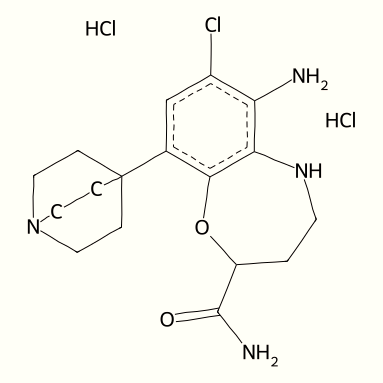 Cl.Cl.NC(=O)C1CCNc2c(N)c(Cl)cc(C34CCN(CC3)CC4)c2O1